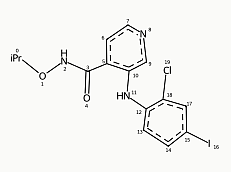 CC(C)ONC(=O)c1ccncc1Nc1ccc(I)cc1Cl